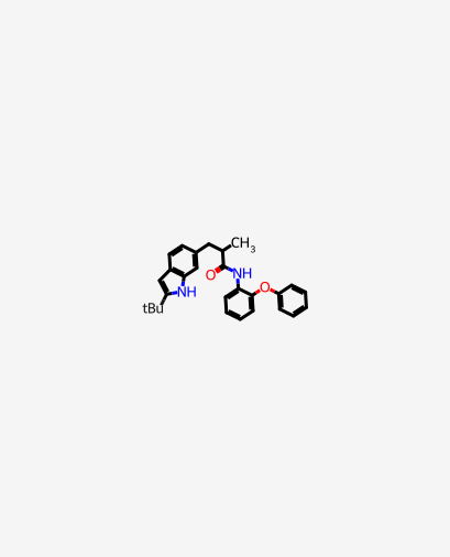 CC(Cc1ccc2cc(C(C)(C)C)[nH]c2c1)C(=O)Nc1ccccc1Oc1ccccc1